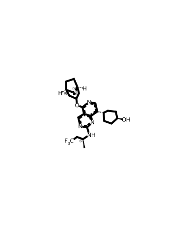 C[C@@H](CC(F)(F)F)Nc1ncc2c(OC3C[C@H]4CC[C@@H](C3)N4C)ncc([C@H]3CC[C@H](O)CC3)c2n1